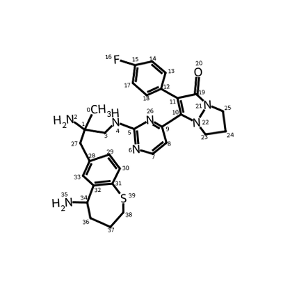 CC(N)(CNc1nccc(-c2c(-c3ccc(F)cc3)c(=O)n3n2CCC3)n1)Cc1ccc2c(c1)C(N)CCCS2